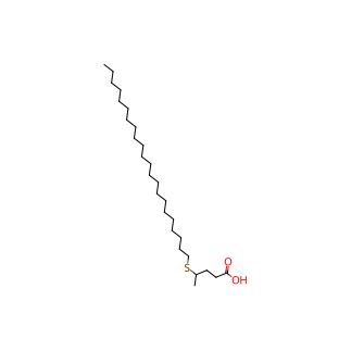 CCCCCCCCCCCCCCCCCCCCCCSC(C)CCC(=O)O